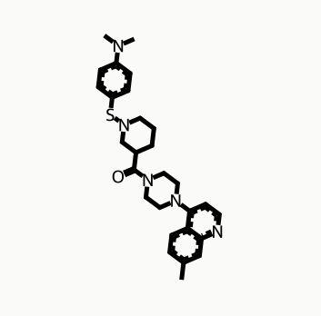 Cc1ccc2c(N3CCN(C(=O)C4CCCN(Sc5ccc(N(C)C)cc5)C4)CC3)ccnc2c1